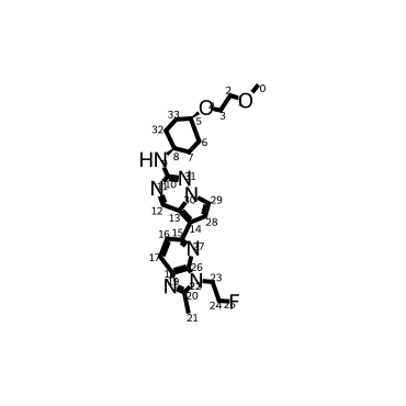 COCCO[C@H]1CC[C@@H](Nc2ncc3c(-c4ccc5nc(C)n(CCF)c5n4)ccn3n2)CC1